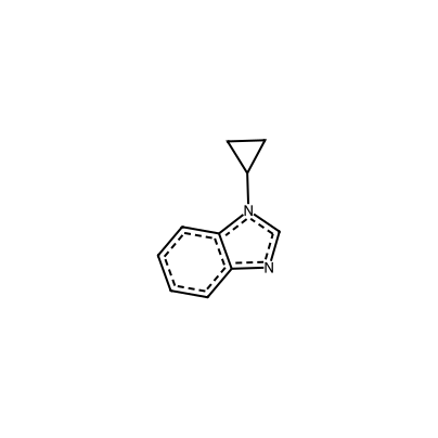 c1ccc2c(c1)ncn2C1CC1